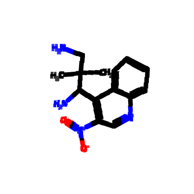 CC(C)(CN)C(N)c1c([N+](=O)[O-])cnc2ccccc12